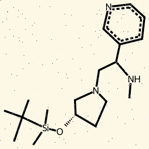 CNC(CN1CC[C@H](O[Si](C)(C)C(C)(C)C)C1)c1cccnc1